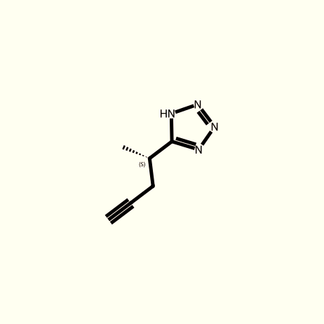 C#CC[C@H](C)c1nnn[nH]1